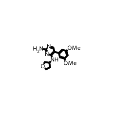 COc1cc(OC)cc(-c2cnc(N)nc2NC2CCOC2)c1